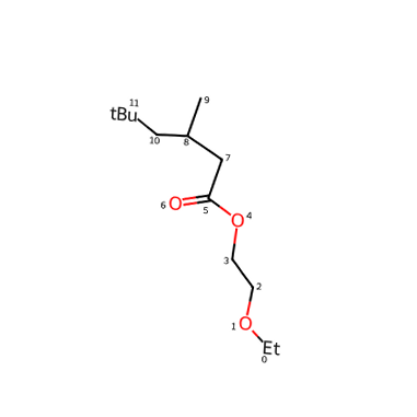 [CH2]COCCOC(=O)CC(C)CC(C)(C)C